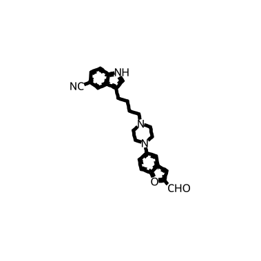 N#Cc1ccc2[nH]cc(CCCCN3CCN(c4ccc5oc(C=O)cc5c4)CC3)c2c1